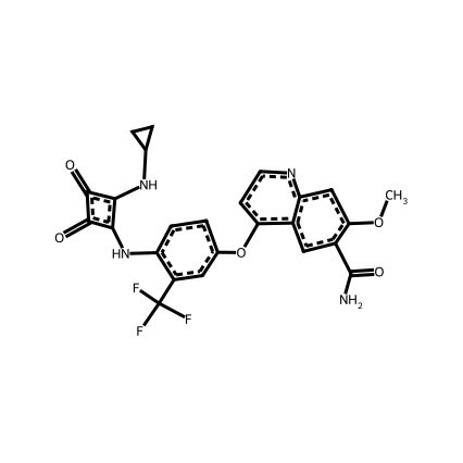 COc1cc2nccc(Oc3ccc(Nc4c(NC5CC5)c(=O)c4=O)c(C(F)(F)F)c3)c2cc1C(N)=O